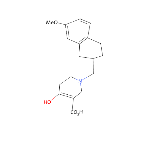 COc1ccc2c(c1)CC(CN1CCC(O)=C(C(=O)O)C1)CC2